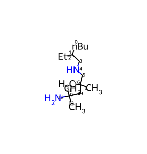 CCCCC(CC)CNCC(C)(C)CC(C)(C)N